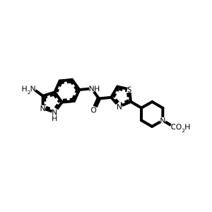 Nc1n[nH]c2cc(NC(=O)c3csc(C4CCN(C(=O)O)CC4)n3)ccc12